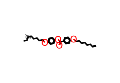 C=CCCCCCCOc1ccc(C(=O)Oc2ccc(OCCCCC[C@@H](C)CC)cc2)cc1